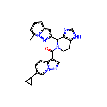 Cc1cccc2cc(C3c4nc[nH]c4CCN3C(=O)c3cnn4cc(C5CC5)ccc34)nn12